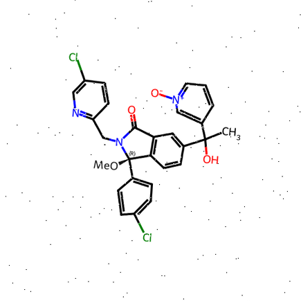 CO[C@]1(c2ccc(Cl)cc2)c2ccc(C(C)(O)c3ccc[n+]([O-])c3)cc2C(=O)N1Cc1ccc(Cl)cn1